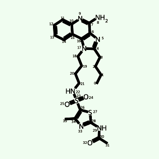 CCCCc1nc2c(N)nc3ccccc3c2n1CCCCNS(=O)(=O)c1sc(NC(C)=O)nc1C